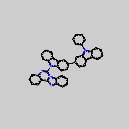 c1ccc(-n2c3ccccc3c3ccc(-c4ccc5c(c4)c4ccccc4n5-c4nc5ccccc5c5nc6ccccc6n45)cc32)cc1